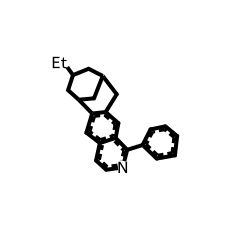 CCC1CC2Cc3cc4c(-c5ccccc5)nccc4cc3C(C1)C2